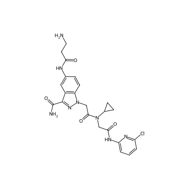 NCCC(=O)Nc1ccc2c(c1)c(C(N)=O)nn2CC(=O)N(CC(=O)Nc1cccc(Cl)n1)C1CC1